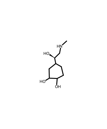 CNC[C@H](O)C1CCC(O)C(O)C1